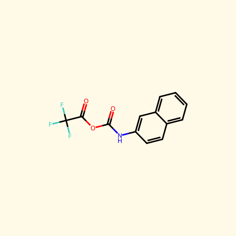 O=C(Nc1ccc2ccccc2c1)OC(=O)C(F)(F)F